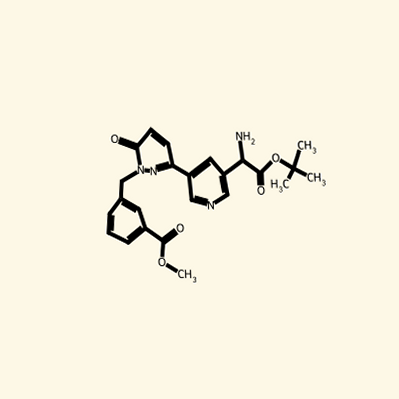 COC(=O)c1cccc(Cn2nc(-c3cncc(C(N)C(=O)OC(C)(C)C)c3)ccc2=O)c1